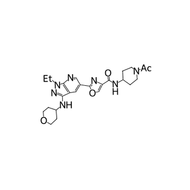 CCn1nc(NC2CCOCC2)c2cc(-c3nc(C(=O)NC4CCN(C(C)=O)CC4)co3)cnc21